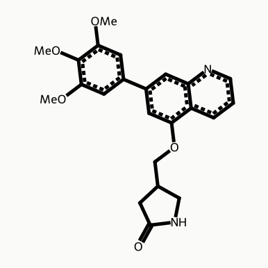 COc1cc(-c2cc(OCC3CNC(=O)C3)c3cccnc3c2)cc(OC)c1OC